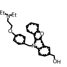 CCN(CC)CCOc1ccc(Cn2c3ccc(CO)cc3c3oc4ccccc4c32)cc1